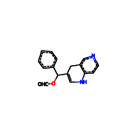 O=COC(C1=CNc2ccncc2C1)c1ccccc1